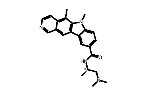 Cc1c2ccncc2cc2c3cc(C(=O)N[C@H](C)CN(C)C)ccc3n(C)c12